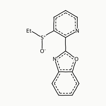 CC[S+]([O-])c1cccnc1-c1nc2ccccc2o1